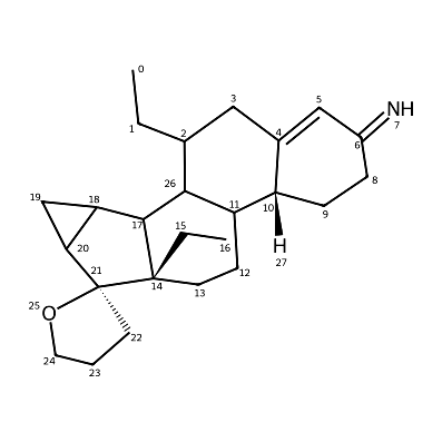 CCC1CC2=CC(=N)CC[C@@H]2C2CC[C@@]3(CC)C(C4CC4[C@@]34CCCO4)C12